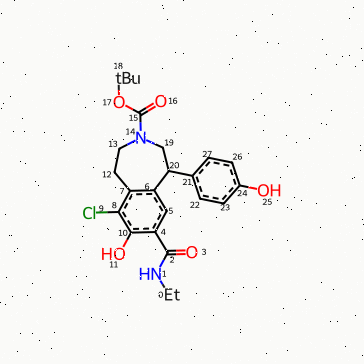 CCNC(=O)c1cc2c(c(Cl)c1O)CCN(C(=O)OC(C)(C)C)CC2c1ccc(O)cc1